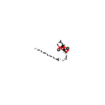 CC[C@]1(O)C[C@H](C)C[C@](C(=O)OC)(c2cc3c(cc2OC)N(C)[C@H]2[C@@](O)(C(=O)NCCC[Si](C)(C)O[Si](C)(C)CSc4ncc(COCCOCCOCCOCCOCCOCCN=[N+]=[N-])cn4)[C@H](O)[C@]4(CC)C=CCN5CC[C@]32[C@@H]54)c2[nH]c3ccccc3c2CCN(C)C1